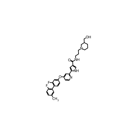 Cc1ccc(F)c(-c2ccc(Oc3ccnc(-c4cc(C(=O)NCCCN5CCCC(CO)C5)c[nH]4)c3)cc2F)c1